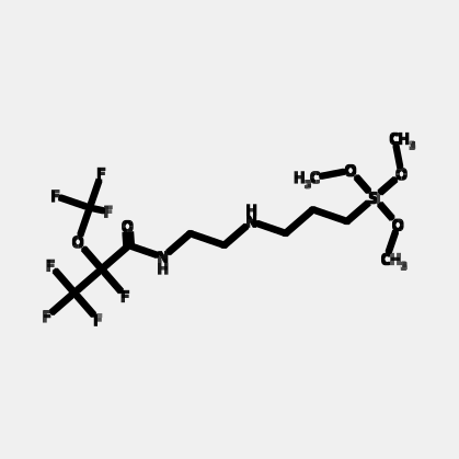 CO[Si](CCCNCCNC(=O)C(F)(OC(F)(F)F)C(F)(F)F)(OC)OC